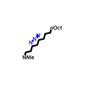 CCCCCCCCCCCCCCCC[NH2+]C.[N-]=[N+]=[N-]